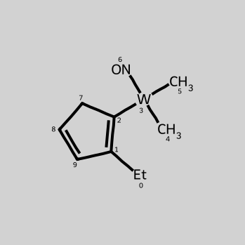 CCC1=[C]([W]([CH3])([CH3])[N]=O)CC=C1